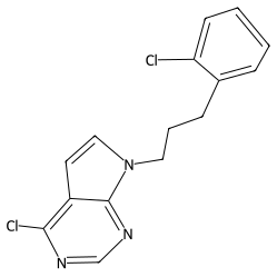 Clc1ccccc1CCCn1ccc2c(Cl)ncnc21